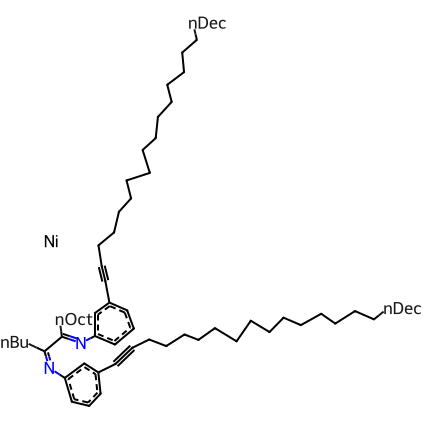 CCCCCCCCCCCCCCCCCCCCCCCCC#Cc1cccc(N=C(CCCC)C(CCCCCCCC)=Nc2cccc(C#CCCCCCCCCCCCCCCCCCCCCCCCC)c2)c1.[Ni]